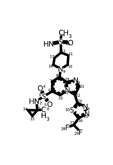 CC1(NS(=O)(=O)c2cc(N3CCC(S(C)(=N)=O)CC3)c3ncc(-c4nnc(C(F)F)s4)n3c2)CC1